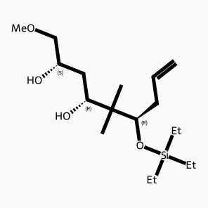 C=CC[C@@H](O[Si](CC)(CC)CC)C(C)(C)[C@H](O)C[C@H](O)COC